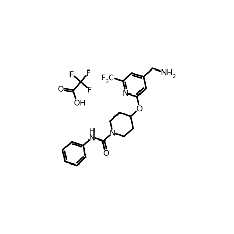 NCc1cc(OC2CCN(C(=O)Nc3ccccc3)CC2)nc(C(F)(F)F)c1.O=C(O)C(F)(F)F